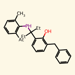 CCC(CC)(Pc1c(C)cccc1C(C)=O)c1cccc(Cc2ccccc2)c1O